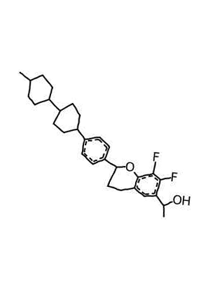 CC1CCC(C2CCC(c3ccc(C4CCc5cc(C(C)O)c(F)c(F)c5O4)cc3)CC2)CC1